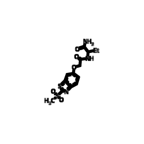 CCC(NC(=O)COc1ccc2nc(S(C)(=O)=O)sc2c1)C(N)=O